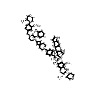 COc1cc(CN2CCN(C3CC4(CCN(c5ccc(C(=O)NS(=O)(=O)c6cc7c(c([N+](=O)[O-])c6)N[C@H](C6CCOCC6)[C@H](C)O7)c(N6c7cc8cc[nH]c8nc7O[C@H]7COCC[C@@H]76)c5)CC4)C3)[C@H](c3ccccc3C)C2)cnc1N1CCOC[C@@H]1C